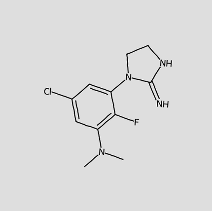 CN(C)c1cc(Cl)cc(N2CCNC2=N)c1F